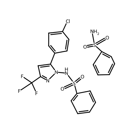 NS(=O)(=O)c1ccccc1.O=S(=O)(Nn1nc(C(F)(F)F)cc1-c1ccc(Cl)cc1)c1ccccc1